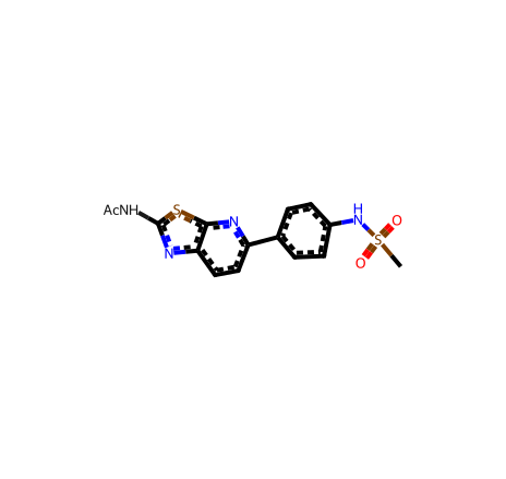 CC(=O)Nc1nc2ccc(-c3ccc(NS(C)(=O)=O)cc3)nc2s1